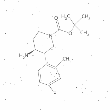 Cc1cc(F)ccc1[C@H]1CN(C(=O)OC(C)(C)C)CC[C@@H]1N